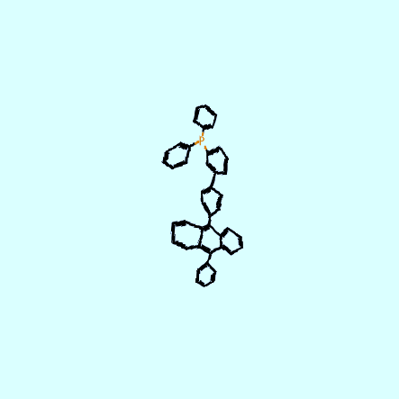 c1ccc(-c2c3ccccc3c(-c3ccc(-c4cccc(P(c5ccccc5)c5ccccc5)c4)cc3)c3ccccc23)cc1